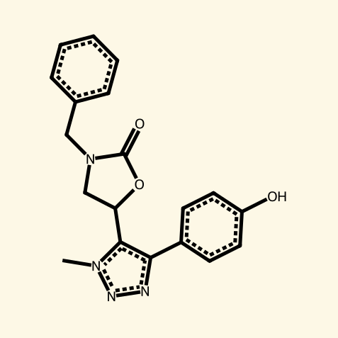 Cn1nnc(-c2ccc(O)cc2)c1C1CN(Cc2ccccc2)C(=O)O1